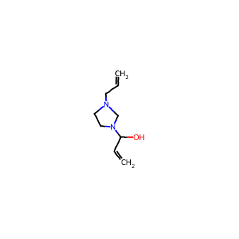 C=CCN1CCN(C(O)C=C)C1